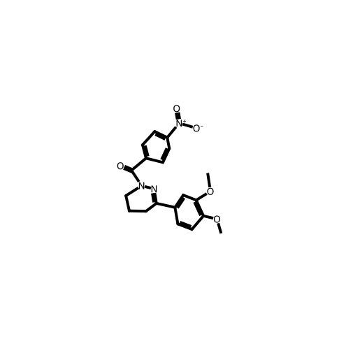 COc1ccc(C2=NN(C(=O)c3ccc([N+](=O)[O-])cc3)CCC2)cc1OC